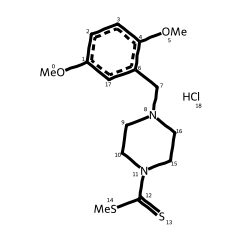 COc1ccc(OC)c(CN2CCN(C(=S)SC)CC2)c1.Cl